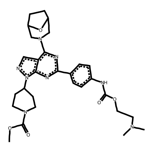 COC(=O)N1CCC(n2ncc3c(N4CC5CCC(C4)O5)nc(-c4ccc(NC(=O)OCCN(C)C)cc4)nc32)CC1